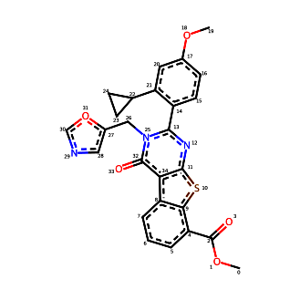 COC(=O)c1cccc2c1sc1nc(-c3ccc(OC)cc3C3CC3)n(Cc3cnco3)c(=O)c12